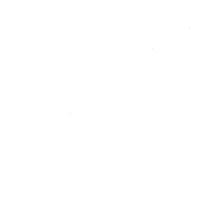 CC(C)(C)c1ccnc(-c2ccc(-c3ccccc3-c3cc(-c4ccccc4-c4ccc(-c5cc(-c6ccccc6)ccn5)cc4)cc(-c4ccccc4-c4ccc(-c5nccc6c5=CCCC=6)cc4)c3)cc2)c1